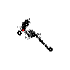 C[C@]12C=CC(=O)C=C1CC[C@@H]1[C@@H]2[C@@H](O)C[C@@]2(C)[C@H]1C[C@H]1O[C@@H](C3CCCCC3)O[C@]12C(=O)COC(=O)NCC[N+](C)(C)Cc1cc(C(O)CNCCCCCCOCCCCc2ccccc2)ccc1OP(=O)(O)O